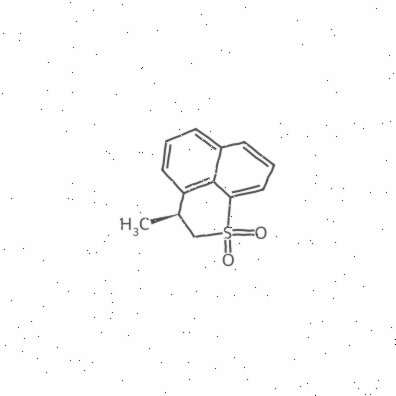 C[C@@H]1CS(=O)(=O)c2cccc3cccc1c23